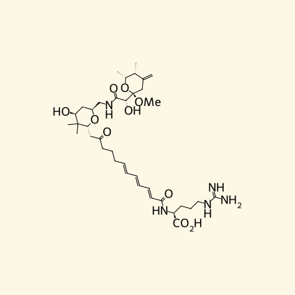 C=C1C[C@](OC)([C@H](O)C(=O)NC[C@@H]2C[C@H](O)C(C)(C)[C@@H](CC(=O)CCC/C=C/C=C/C=C/C(=O)N[C@@H](CCCNC(=N)N)C(=O)O)O2)O[C@H](C)[C@@H]1C